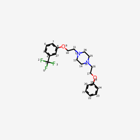 FC(F)(F)c1cccc(OCCN2CCN(CCOc3ccccc3)CC2)c1